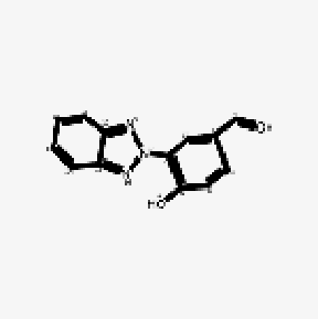 O=Cc1ccc(O)c(-n2nc3ccccc3n2)c1